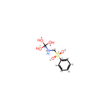 O=S(=O)(CNC(O)(O)O)c1ccccc1